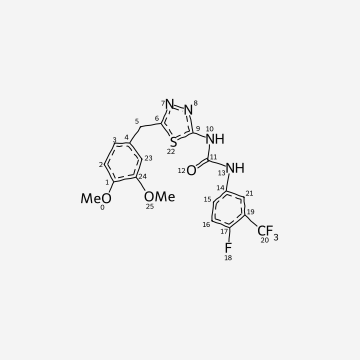 COc1ccc(Cc2nnc(NC(=O)Nc3ccc(F)c(C(F)(F)F)c3)s2)cc1OC